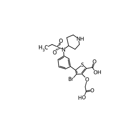 CCS(=O)(=O)N(c1cccc(-c2sc(C(=O)O)c(OCC(=O)O)c2Br)c1)C1CCNCC1